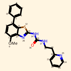 COc1ccc(-c2ccccc2)c2sc(NC(=O)NCCc3ccccn3)nc12